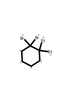 CCC1(CC)CCCCC1(Br)Br